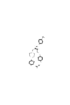 COc1ccc(N2CCN(Cc3nn(-c4ccc(C(F)(F)F)cc4)nc3CSc3ccc(OC(C)(C)C(=O)O)cc3)CC2)cc1